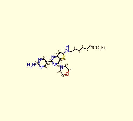 CCOC(=O)CCCCCCNc1cc2nc(-c3cnc(N)nc3)nc(N3CCOCC3)c2s1